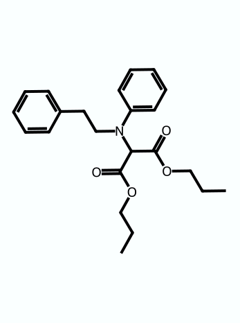 CCCOC(=O)C(C(=O)OCCC)N(CCc1ccccc1)c1ccccc1